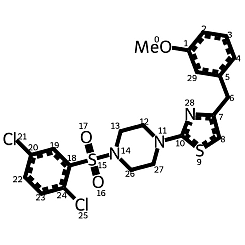 COc1cccc(Cc2csc(N3CCN(S(=O)(=O)c4cc(Cl)ccc4Cl)CC3)n2)c1